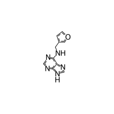 c1nc(NCc2ccoc2)c2nc[nH]c2n1